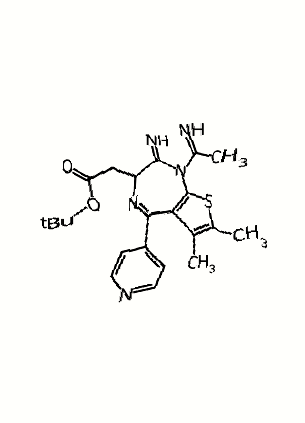 CC(=N)N1C(=N)C(CC(=O)OC(C)(C)C)N=C(c2ccncc2)c2c1sc(C)c2C